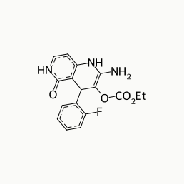 CCOC(=O)OC1=C(N)Nc2cc[nH]c(=O)c2C1c1ccccc1F